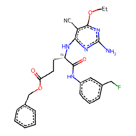 CCOc1nc(N)nc(N[C@@H](CCC(=O)OCc2ccccc2)C(=O)Nc2cccc(CF)c2)c1C#N